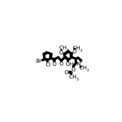 COc1cc(OC)c(C2CCN(C)C2COC(C)=O)c(O)c1C(=O)CC(=O)c1cccc(Br)c1Cl